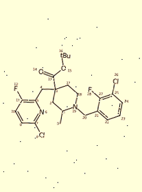 CC1CC(Cc2nc(Cl)ccc2F)(C(=O)OC(C)(C)C)CCN1Cc1cccc(Cl)c1F